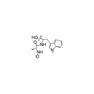 C[C@H](NCl)C(=O)N[C@H](Cc1cn(C)c2ccccc12)C(=O)O